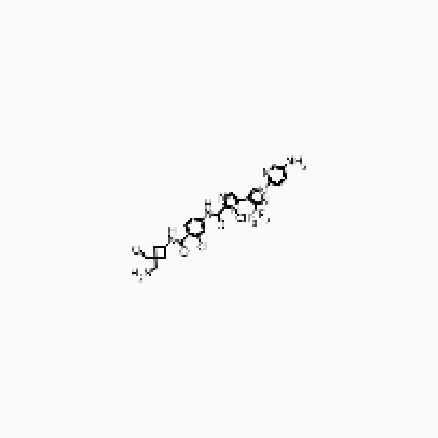 Cn1c(-c2cn(-c3ccc(N)cn3)nc2C(F)(F)F)cnc1C(=O)Nc1ccc(C(=O)NC2CC(CN)(CCl)C2)c(Cl)c1